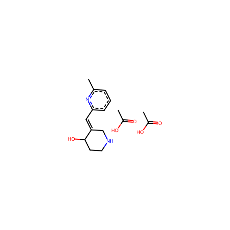 CC(=O)O.CC(=O)O.Cc1cccc(/C=C2\CNCCC2O)n1